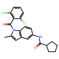 Cc1cc2cc(NC(=O)C3CCCC3)ccc2n1C(=O)c1c(Cl)cccc1Cl